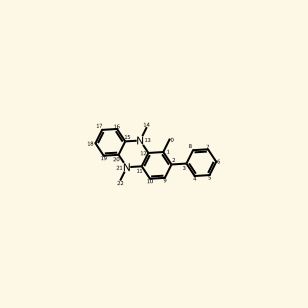 Cc1c(-c2ccccc2)ccc2c1N(C)c1ccccc1N2C